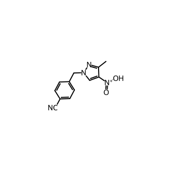 Cc1nn(Cc2ccc(C#N)cc2)cc1[N+](=O)O